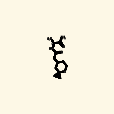 C[C@H](NC(=O)CN1CCOC2(CC2)C1)C(N)=O